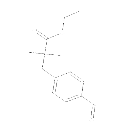 CCOC(=O)C(C)(C)Cc1ccc(C=O)cc1